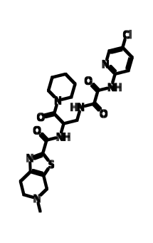 CN1CCc2nc(C(=O)NC(CNC(=O)C(=O)Nc3ccc(Cl)cn3)C(=O)N3CCCCC3)sc2C1